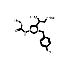 CC(=O)NCC(C(=O)O)C1=CN(NC(=O)OC(C)(C)C)CN1Cc1ccc(C#N)cc1